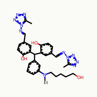 CCN(CCCCCO)c1cccc(C(c2cc(C=Nn3nnnc3C)ccc2O)c2cc(C=Nn3nnnc3C)ccc2O)c1